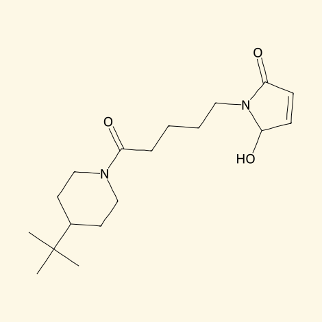 CC(C)(C)C1CCN(C(=O)CCCCN2C(=O)C=CC2O)CC1